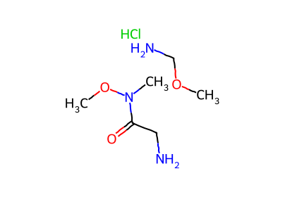 COCN.CON(C)C(=O)CN.Cl